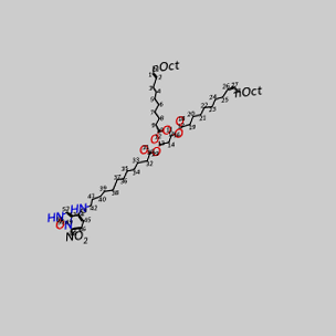 CCCCCCCCC=CCCCCCCCC(=O)OC(CCOC(=O)CCCCCCC/C=C\CCCCCCCC)OC(=O)CCCCCCCCCCCNC1=CC=C([N+](=O)[O-])N2ONC=C12